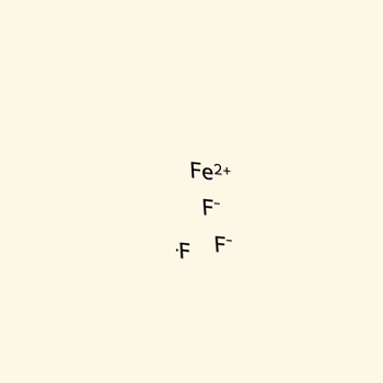 [F-].[F-].[F].[Fe+2]